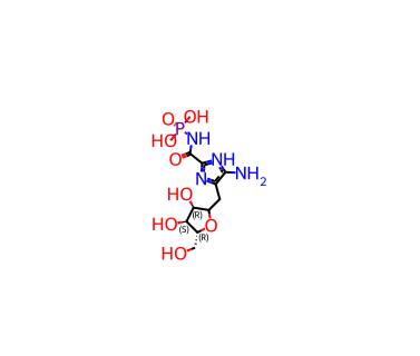 Nc1[nH]c(C(=O)NP(=O)(O)O)nc1CC1O[C@H](CO)[C@@H](O)[C@H]1O